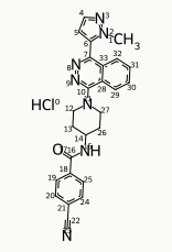 Cl.Cn1nccc1-c1nnc(N2CCC(NC(=O)c3ccc(C#N)cc3)CC2)c2ccccc12